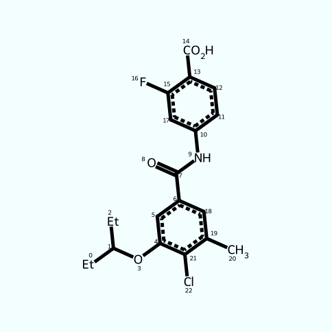 CCC(CC)Oc1cc(C(=O)Nc2ccc(C(=O)O)c(F)c2)cc(C)c1Cl